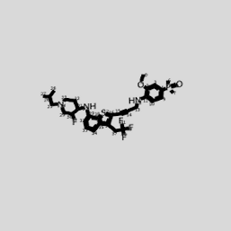 COc1cc(P(C)(C)=O)ccc1NCC#Cc1sc2c(NC3CCN(CC(C)C)CC3F)cccc2c1CC(F)(F)F